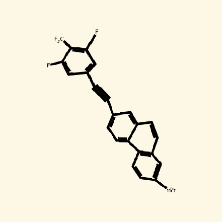 CCCc1ccc2c(ccc3cc(C#Cc4cc(F)c(C(F)(F)F)c(F)c4)ccc32)c1